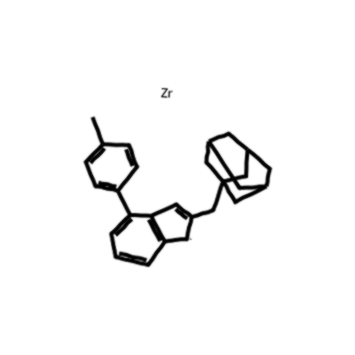 Cc1ccc(-c2cccc3c2C=C(CC24CC5CC(CC(C5)C2)C4)[CH]3)cc1.[Zr]